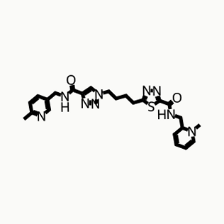 Cc1ccc(CNC(=O)c2cn(CCCCc3nnc(C(=O)NCC4C=CC=CN4C)s3)nn2)cn1